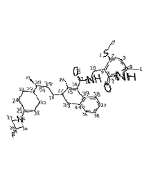 CSc1cc(C)[nH]c(=O)c1CNC(=O)C1=C(C)C(CC[C@H](C)C2CCC(N3CC(F)C3)CC2)Cc2ccccc21